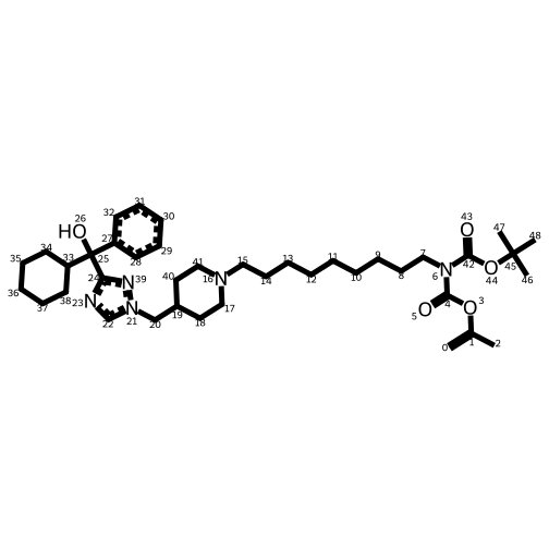 C=C(C)OC(=O)N(CCCCCCCCCN1CCC(Cn2cnc(C(O)(c3ccccc3)C3CCCCC3)n2)CC1)C(=O)OC(C)(C)C